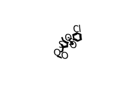 Cc1sc(C2OCCO2)cc1S(=O)(=O)c1cccc(Cl)c1